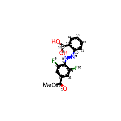 COC(=O)c1cc(F)c(N=Nc2ccccc2B(O)O)c(F)c1